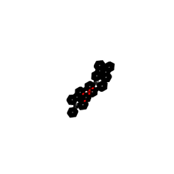 c1ccc(-c2ccccc2N(c2ccc(-c3ccc4c(c3)C3(c5ccccc5)c5ccccc5N(c5ccccc5)c5cccc-4c53)cc2)c2ccc3c(c2)C2(c4ccccc4-c4ccccc42)c2ccccc2-3)cc1